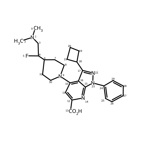 CN(C)CC(F)C1CCN(c2cc(C(=O)O)nc3c2c(C2CCC2)nn3-c2ccccc2)CC1